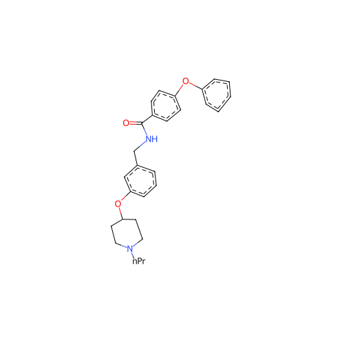 CCCN1CCC(Oc2cccc(CNC(=O)c3ccc(Oc4ccccc4)cc3)c2)CC1